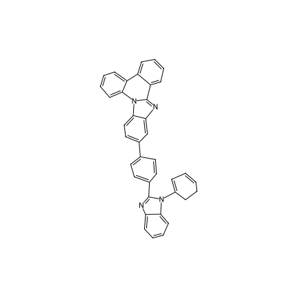 C1=CCCC(n2c(-c3ccc(-c4ccc5c(c4)nc4c6ccccc6c6ccccc6n54)cc3)nc3ccccc32)=C1